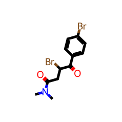 CN(C)C(=O)CC(Br)C(=O)c1ccc(Br)cc1